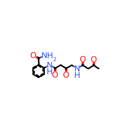 CC(=O)CC(=O)NCC(=O)CC(=O)Nc1ccccc1C(N)=O